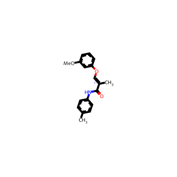 COc1cccc(O/C=C(\C)C(=O)Nc2ccc(C)cc2)c1